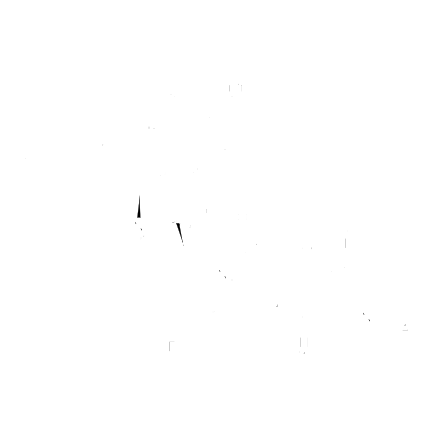 CC(=O)N1C[C@H]2C[C@H](C(=O)N3C[C@H](F)C[C@H]3C(=O)N[C@@H](c3ccccc3)c3ccc(C(C)C)cc3)O[C@H]2C1